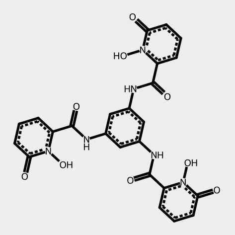 O=C(Nc1cc(NC(=O)c2cccc(=O)n2O)cc(NC(=O)c2cccc(=O)n2O)c1)c1cccc(=O)n1O